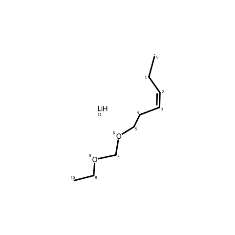 [CH2]C/C=C\CCOCOCC.[LiH]